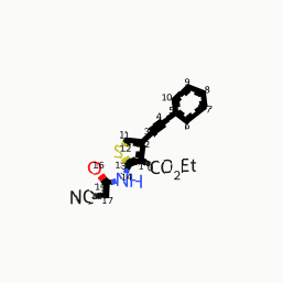 CCOC(=O)c1c(C#Cc2ccccc2)csc1NC(=O)CC#N